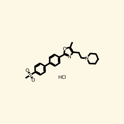 Cc1oc(-c2ccc(-c3ccc(S(C)(=O)=O)cc3)cc2)nc1CCN1CCCCC1.Cl